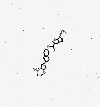 CCn1ccc2cc(C(=O)N[C@H]3CCc4cc(N5C[C@H](OC)[C@@H](N)C5)ccc4C3)nnc21